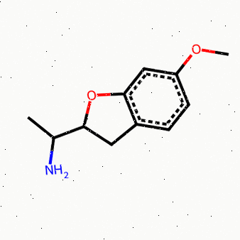 COc1ccc2c(c1)OC(C(C)N)C2